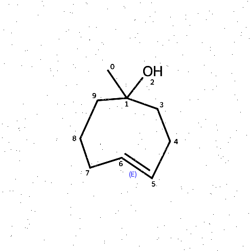 CC1(O)CC/C=C/CCC1